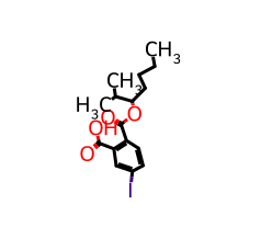 CCCCC(OC(=O)c1ccc(I)cc1C(=O)O)C(C)C